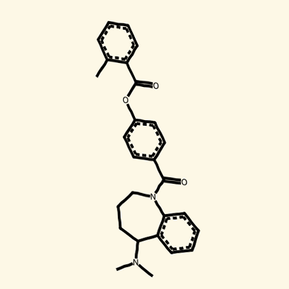 Cc1ccccc1C(=O)Oc1ccc(C(=O)N2CCCC(N(C)C)c3ccccc32)cc1